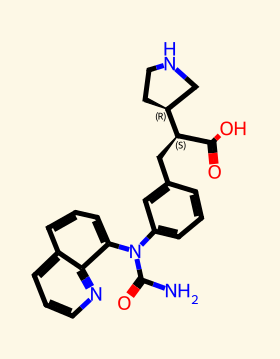 NC(=O)N(c1cccc(C[C@H](C(=O)O)[C@H]2CCNC2)c1)c1cccc2cccnc12